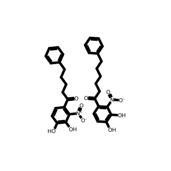 O=C(CCCCCc1ccccc1)c1ccc(O)c(O)c1[N+](=O)[O-].O=C(CCCCc1ccccc1)c1ccc(O)c(O)c1[N+](=O)[O-]